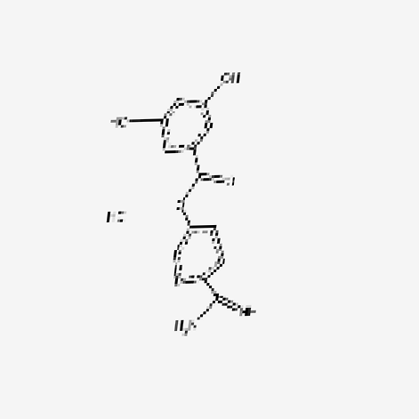 Cl.N=C(N)c1ccc(OC(=O)c2cc(O)cc(O)c2)cc1